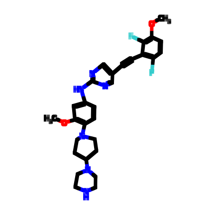 COc1cc(Nc2ncc(C#Cc3c(F)ccc(OC)c3F)cn2)ccc1N1CCC(N2CCNCC2)CC1